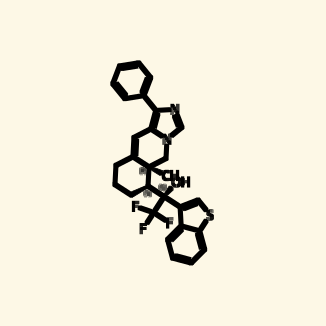 C[C@]12Cn3cnc(-c4ccccc4)c3C=C1CCC[C@@H]2[C@](O)(c1csc2ccccc12)C(F)(F)F